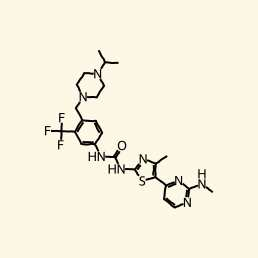 CNc1nccc(-c2sc(NC(=O)Nc3ccc(CN4CCN(C(C)C)CC4)c(C(F)(F)F)c3)nc2C)n1